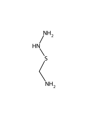 NCSNN